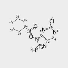 [2H]c1nc2cnc(Cl)nc2n1OC(=O)C1CCCCC1